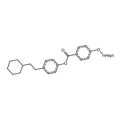 CCCCCCCOc1ccc(C(=O)Oc2ccc(CCC3CC[CH]CC3)cc2)cc1